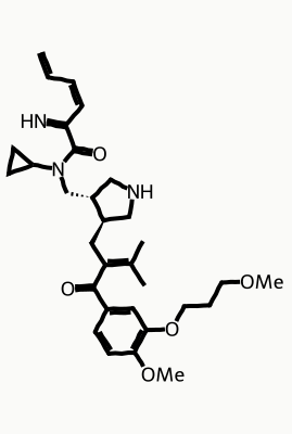 C=C/C=C\C(=N)C(=O)N(C[C@@H]1CNC[C@H]1CC(C(=O)c1ccc(OC)c(OCCCOC)c1)=C(C)C)C1CC1